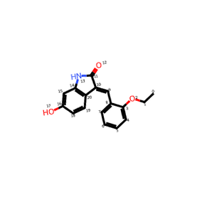 CCOc1ccccc1/C=C1/C(=O)Nc2cc(O)ccc21